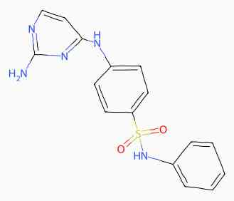 Nc1nccc(Nc2ccc(S(=O)(=O)Nc3ccccc3)cc2)n1